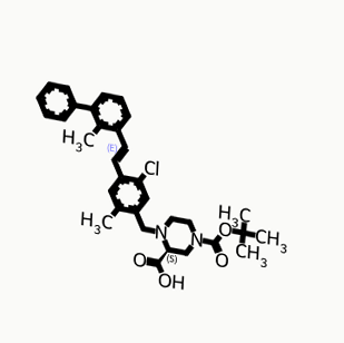 Cc1cc(/C=C/c2cccc(-c3ccccc3)c2C)c(Cl)cc1CN1CCN(C(=O)OC(C)(C)C)C[C@H]1C(=O)O